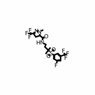 CN1N=C(C(F)(F)F)CC1C(=O)NCCC(C)(C)S(=O)(=O)c1cc(F)cc(C(F)(F)F)c1